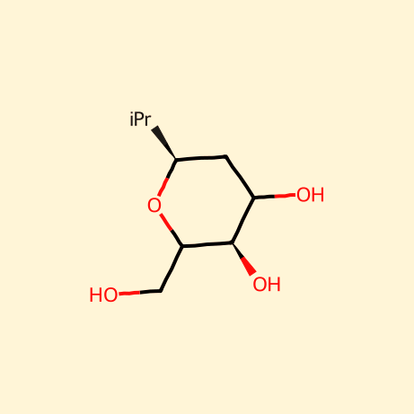 CC(C)[C@H]1CC(O)[C@@H](O)C(CO)O1